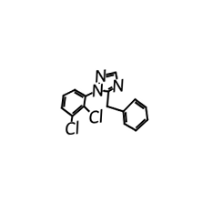 Clc1cccc(-n2ncnc2Cc2ccccc2)c1Cl